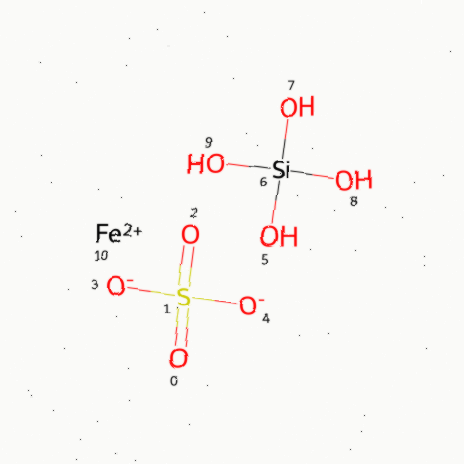 O=S(=O)([O-])[O-].O[Si](O)(O)O.[Fe+2]